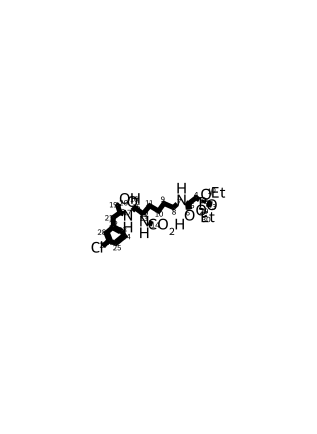 CCOP(=O)(CC(=O)NCCCCC(NC(=O)O)C(=O)NC(CO)Cc1cccc(Cl)c1)OCC